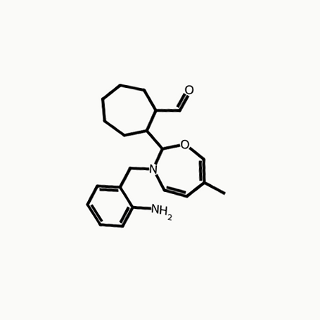 CC1=COC(C2CCCCCC2C=O)N(Cc2ccccc2N)C=C1